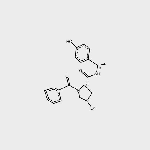 C[C@@H](NC(=O)[C@@H]1C[S+]([O-])CN1C(=O)c1ccccc1)c1ccc(O)cc1